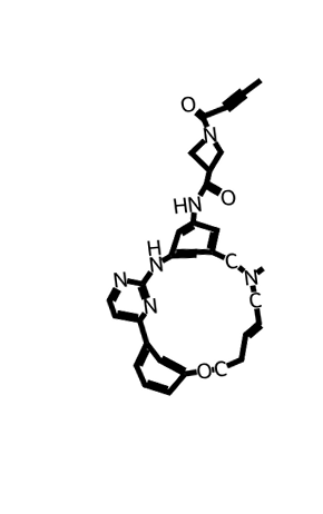 CC#CC(=O)N1CC(C(=O)Nc2cc3cc(c2)Nc2nccc(n2)-c2cccc(c2)OCC/C=C/CN(C)C3)C1